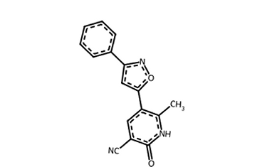 Cc1[nH]c(=O)c(C#N)cc1-c1cc(-c2ccccc2)no1